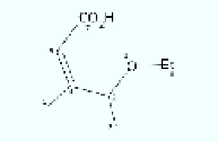 CCOC(C)/C(C)=C\C(=O)O